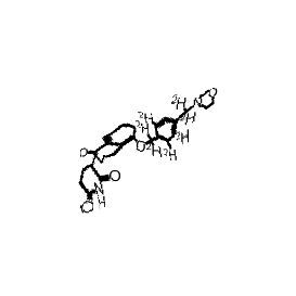 [2H]c1cc(C([2H])([2H])N2CCOCC2)c([2H])c([2H])c1C([2H])([2H])Oc1cccc2c1CN(C1CCC(=O)NC1=O)C2=O